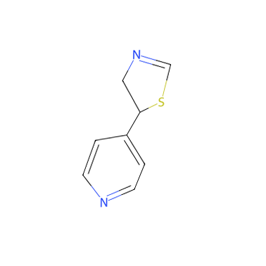 C1=NCC(c2ccncc2)S1